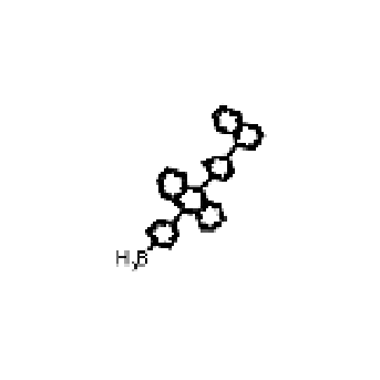 Bc1ccc(-c2c3ccccc3c(-c3ccc(-c4cccc5ccccc45)cc3)c3ccccc23)cc1